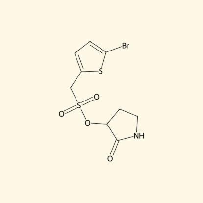 O=C1NCCC1OS(=O)(=O)Cc1ccc(Br)s1